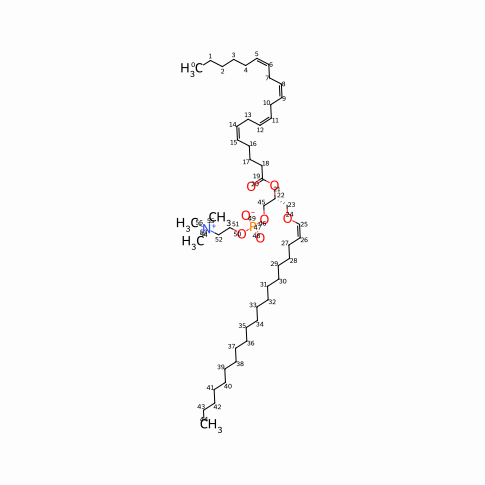 CCCCC/C=C\C/C=C\C/C=C\C/C=C\CCCC(=O)O[C@H](CO/C=C\CCCCCCCCCCCCCCCCCC)COP(=O)([O-])OCC[N+](C)(C)C